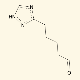 O=CCCCCc1nc[nH]n1